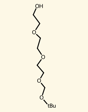 CC(C)(C)OCOCCOCCOCCO